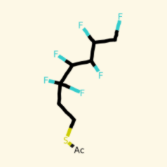 CC(=O)SCCC(F)(F)C(F)C(F)C(F)CF